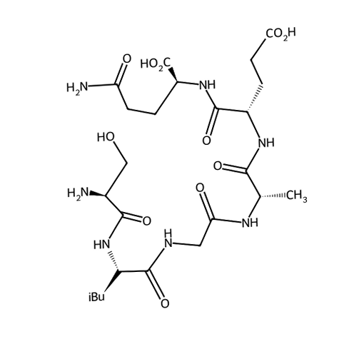 CC[C@H](C)[C@H](NC(=O)[C@@H](N)CO)C(=O)NCC(=O)N[C@@H](C)C(=O)N[C@@H](CCC(=O)O)C(=O)N[C@@H](CCC(N)=O)C(=O)O